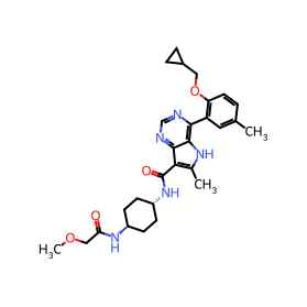 COCC(=O)N[C@H]1CC[C@H](NC(=O)c2c(C)[nH]c3c(-c4cc(C)ccc4OCC4CC4)ncnc23)CC1